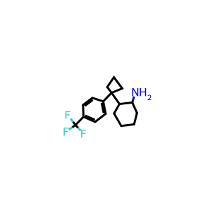 NC1CCCCC1C1(c2ccc(C(F)(F)F)cc2)CCC1